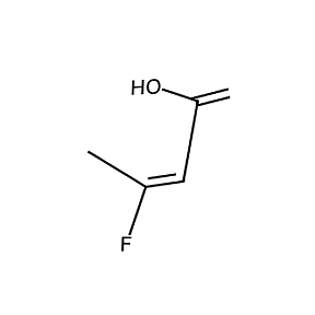 C=C(O)/C=C(\C)F